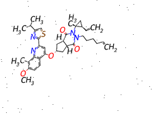 C=CCCCCN1C(=O)[C@@H]2C[C@H](Oc3cc(-c4nc(C(C)C)cs4)nc4c(C)c(OC)ccc34)C[C@H]2C(=O)N1[C@]1(C)C[C@H]1C=C